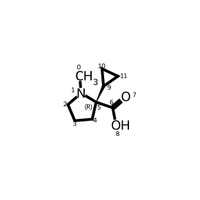 CN1CCC[C@]1(C(=O)O)C1CC1